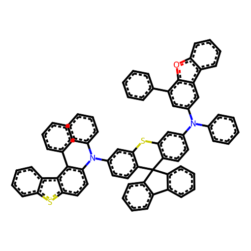 c1ccc(-c2cc(N(c3ccccc3)c3ccc4c(c3)Sc3cc(N(c5ccccc5)c5ccc6sc7ccccc7c6c5-c5ccccc5)ccc3C43c4ccccc4-c4ccccc43)cc3c2oc2ccccc23)cc1